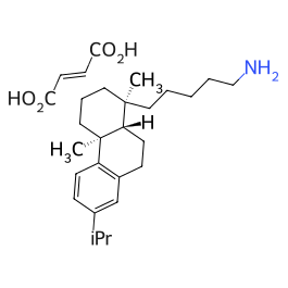 CC(C)c1ccc2c(c1)CC[C@H]1[C@](C)(CCCCCN)CCC[C@]21C.O=C(O)/C=C/C(=O)O